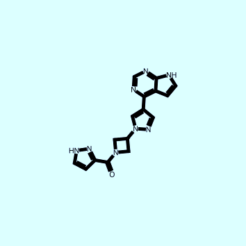 O=C(c1cc[nH]n1)N1C[C](n2cc(-c3ncnc4[nH]ccc34)cn2)C1